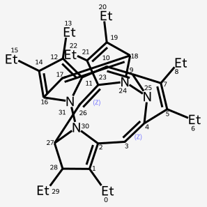 CCC1=C2/C=c3/c(CC)c(CC)c4cc5c(CC)c(CC)c6cc7c(CC)c(CC)/c(n7n34)=C/C(C1CC)N2n56